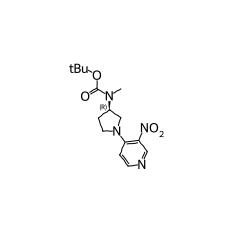 CN(C(=O)OC(C)(C)C)[C@@H]1CCN(c2ccncc2[N+](=O)[O-])C1